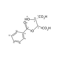 O=C(OC(C(=O)O)[C@H](O)C(=O)O)c1ccccc1